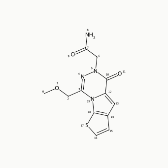 COCc1nn(CC(N)=O)c(=O)c2cc3ccsc3n12